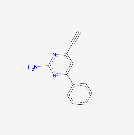 C#Cc1cc(-c2ccccc2)nc(N)n1